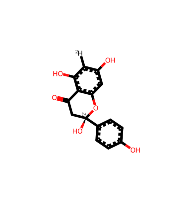 [2H]c1c(O)cc2c(c1O)C(=O)C[C@@](O)(c1ccc(O)cc1)O2